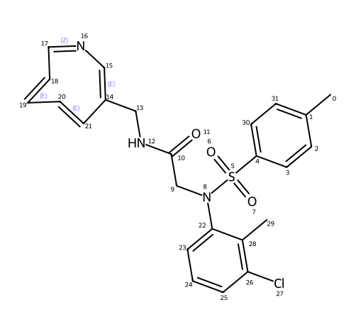 Cc1ccc(S(=O)(=O)N(CC(=O)NCC2=C/N=C\C=C\C=C\2)c2cccc(Cl)c2C)cc1